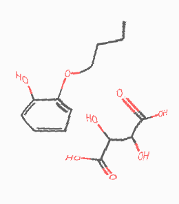 CCCCOc1ccccc1O.O=C(O)C(O)C(O)C(=O)O